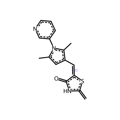 C=c1[nH]c(=O)/c(=C\c2cc(C)n(-c3cccnc3)c2C)s1